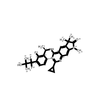 C[C@@H](Nc1nc(C2CC2)nc2cc3c(cc12)C(C)(C)C(=O)N3C)c1cccc(C(F)(F)C(C)(C)O)c1F